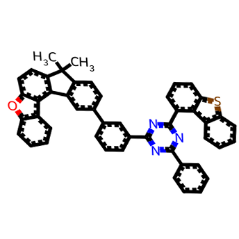 CC1(C)c2ccc(-c3cccc(-c4nc(-c5ccccc5)nc(-c5cccc6sc7ccccc7c56)n4)c3)cc2-c2c1ccc1oc3ccccc3c21